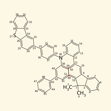 CC1(C)c2ccccc2-c2cc(-c3ccccc3N(c3ccc(-c4ccc5sc6ccccc6c5c4)cc3)c3cccc(-c4ccccc4)c3)ccc21